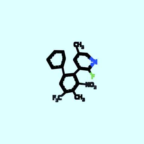 Cc1cnc(F)c(-c2c(-c3ccccc3)cc(C(F)(F)F)c(C)c2[N+](=O)[O-])c1